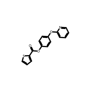 O=C(Oc1ccc(Oc2ccccn2)cc1)c1cccs1